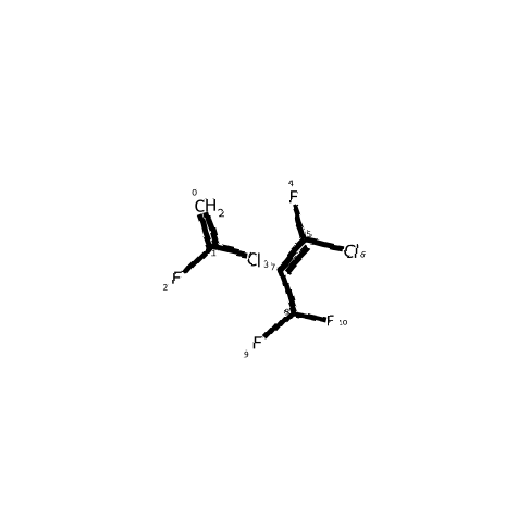 C=C(F)Cl.FC(Cl)=CC(F)F